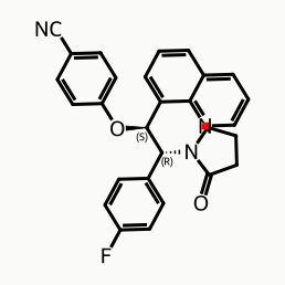 N#Cc1ccc(O[C@@H](c2cccc3cccnc23)[C@@H](c2ccc(F)cc2)N2CCCC2=O)cc1